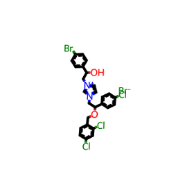 OC(C[n+]1ccn(CC(OCc2ccc(Cl)cc2Cl)c2ccc(Cl)cc2)c1)c1ccc(Br)cc1.[Br-]